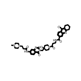 CN1CCN(CCC(=O)Nc2ccc3c(=O)n(CC4(O)CCN(C(=O)CCNC(=O)c5ccc6c(Cl)c7c(nc6c5)CCCC7)CC4)cnc3c2)CC1